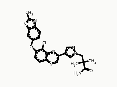 Cc1nc2ccc(Oc3ccc4ncc(-c5cnn(CC(C)(C)C(N)=O)c5)nc4c3Cl)cc2[nH]1